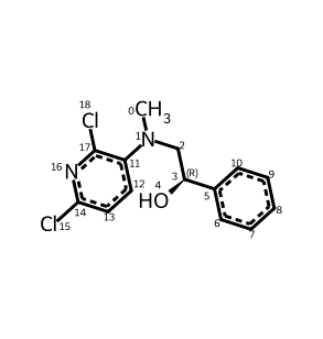 CN(C[C@H](O)c1ccccc1)c1ccc(Cl)nc1Cl